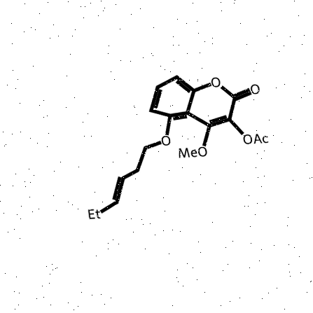 CC/C=C/CCOc1cccc2oc(=O)c(OC(C)=O)c(OC)c12